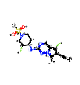 C#Cc1c(F)c2cnc(N[C@@H]3CCN(S(=O)(=O)CC)C[C@H]3F)nn2c1C(C)C